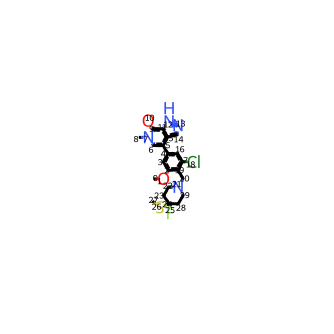 COc1cc(-c2cn(C)c(=O)c3[nH]ncc23)cc(Cl)c1CN1CCC(F)(SC)CC1